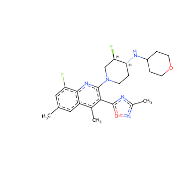 Cc1cc(F)c2nc(N3CC[C@@H](NC4CCOCC4)[C@H](F)C3)c(-c3nc(C)no3)c(C)c2c1